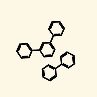 c1ccc(-c2cccc(-c3ccccc3)c2)cc1.c1ccc(-c2ccccc2)cc1